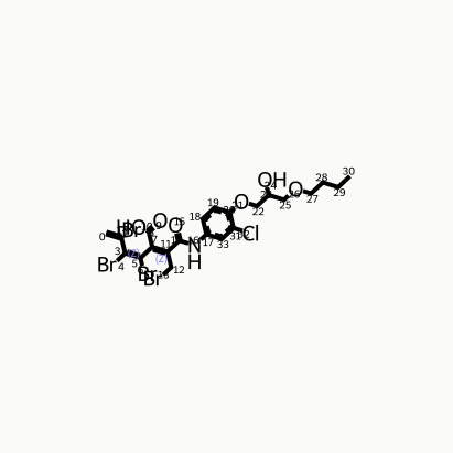 C=C(Br)/C(Br)=C(Br)\C(C(=O)O)=C(/CBr)C(=O)Nc1ccc(OCC(O)COCCCC)c(Cl)c1